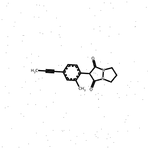 CC#Cc1ccc(C2C(=O)N3CCCN3C2=O)c(C)c1